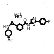 CC(=O)N1CCC(NC2CC2c2cccc(C(=O)Nc3cnc(-c4ccc(F)cc4)s3)c2)CC1.Cl.Cl